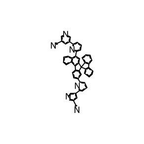 N#Cc1cncc(-c2cccc(-c3ccc4c(c3)C3(c5ccccc5-c5ccccc53)c3cc(-c5cccc(-c6cncc(C#N)c6)n5)c5ccccc5c3-4)n2)c1